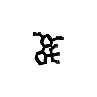 CCOP(=O)(OCC)c1ccccc1-c1cc(OC)cc(OC)c1